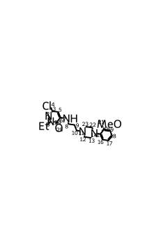 CCn1nc(Cl)cc(NCCCN2CCN(c3ccccc3OC)CC2)c1=O